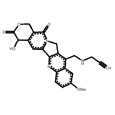 C#CCNCc1c2c(nc3ccc(OC)cc13)-c1cc3c(c(=O)n1C2)COC(=O)C3O